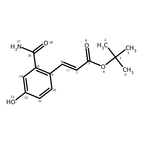 CC(C)(C)OC(=O)/C=C/c1ccc(O)cc1C(N)=O